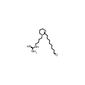 N=C(N)NCCCCN1CCCN=C1CCCCCCCC=O